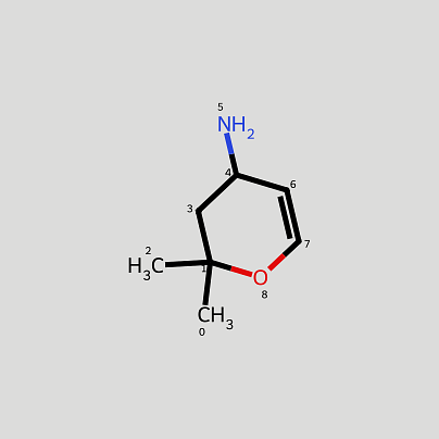 CC1(C)CC(N)C=CO1